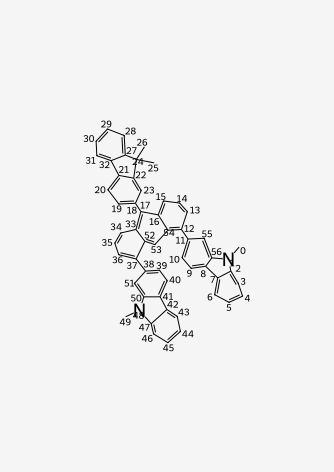 Cn1c2ccccc2c2ccc(-c3cccc4c(-c5ccc6c(c5)C(C)(C)c5ccccc5-6)c5cccc(-c6ccc7c8ccccc8n(C)c7c6)c5cc34)cc21